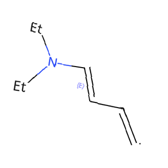 [CH]=C/C=C/N(CC)CC